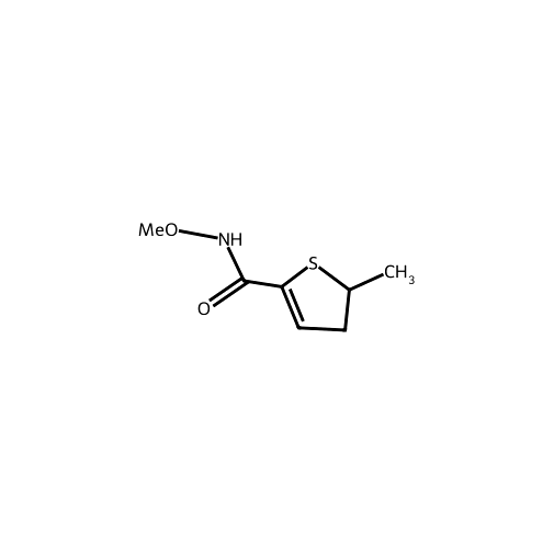 CONC(=O)C1=CCC(C)S1